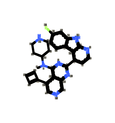 CN(c1nc(-c2ccnc3[nH]c4cc(F)ccc4c23)nc2cncc(C3=CC=C3)c12)C1CCNCC1